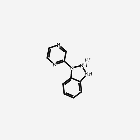 [H+].c1ccc2c(c1)NNN2c1cnccn1